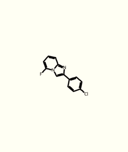 Fc1cccc2nc(-c3ccc(Cl)cc3)cn12